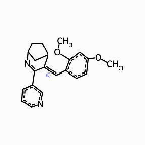 COc1ccc(/C=C2/C(c3cccnc3)=NC3CCC2C3)c(OC)c1